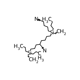 C=C[Si](CCC)(CCC)CCCC(C#N)CCCC[Si](C=C)(CCCC)CCCCC#N